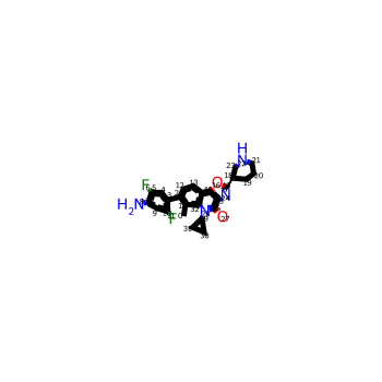 Cc1c(-c2cc(F)c(N)cc2F)ccc2c3oc([C@@H]4CCCNC4)nc3c(=O)n(C3CC3)c12